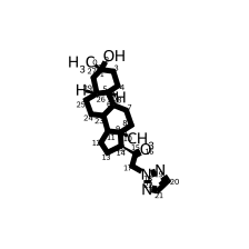 C[C@@]1(O)CC[C@@H]2C3CC[C@@]4(C)C(CC[C@@H]4C(=O)Cn4nccn4)C3CC[C@@H]2C1